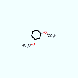 O=C(O)O[C@@H]1CCC[C@H](OC(=O)O)C1